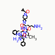 CC(C)C[C@@H](NC(=O)[C@@H](Cc1ccccc1)NC(=O)C(N)Cc1ccccc1)C(=O)N[C@H](CCCCN)C(=O)N1CC2(CCN(C(=O)C3CC3)CC2)C1